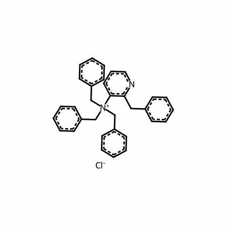 [Cl-].c1ccc(Cc2ncccc2[N+](Cc2ccccc2)(Cc2ccccc2)Cc2ccccc2)cc1